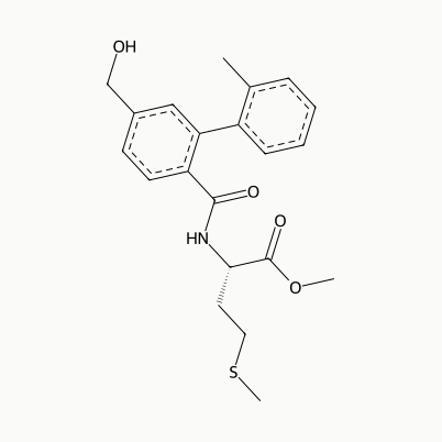 COC(=O)[C@H](CCSC)NC(=O)c1ccc(CO)cc1-c1ccccc1C